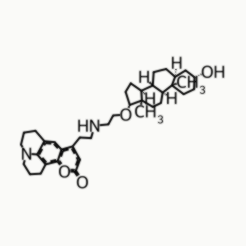 C[C@]12CC[C@@H](O)C[C@@H]1CC[C@@H]1[C@@H]2CC[C@]2(C)[C@@H](OCCNCCc3cc(=O)oc4c5c6c(cc34)CCCN6CCC5)CC[C@@H]12